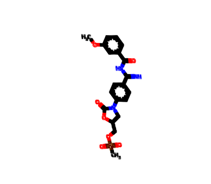 COc1cccc(C(=O)NC(=N)c2ccc(N3CC(COS(C)(=O)=O)OC3=O)cc2)c1